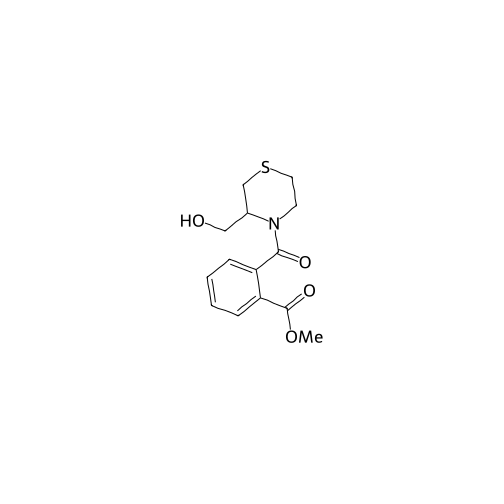 COC(=O)c1ccccc1C(=O)N1CCSCC1CO